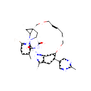 CC(=O)c1nn2c3cc(c(-c4cnc(C)nc4)cc13)OCCC/C=C/COC[C@@]13C[C@@H](C(=O)Nc4nc(Br)ccc4C)N(C(=O)C2)C1[C@@H]3C